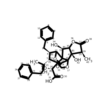 C=C(C)[C@@H]1[C@@H](Cc2ccccc2)C2OC(=O)C34OCC1([C@@H](OCc1ccccc1)C(=O)O)C23[C@@H](O)C1OC(=O)[C@@H](C)[C@@]14O